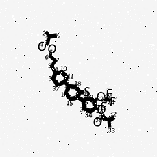 C=C(C)C(=O)OCCCc1ccc(-c2ccc3c(c2)sc2c(OC(F)(F)F)c(OC(=O)C(=C)C)ccc23)cc1